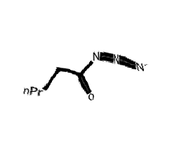 CCCCC(=O)N=[N+]=[N-]